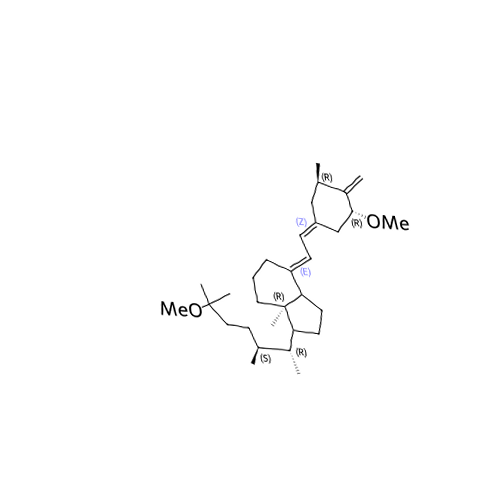 C=C1[C@H](C)C/C(=C/C=C2\CCC[C@@]3(C)C2CCC3[C@H](C)[C@@H](C)CCC(C)(C)OC)C[C@H]1OC